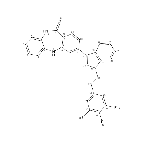 O=C1Nc2ccccc2Nc2cc(-c3cn(CCc4cc(F)c(F)c(F)c4)c4cnccc34)ccc21